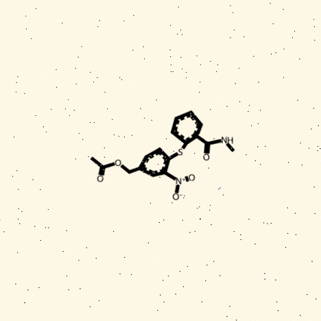 CNC(=O)c1ccccc1Sc1ccc(COC(C)=O)cc1[N+](=O)[O-]